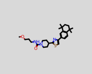 COCCCNC(=O)N1CCC(c2nc(-c3ccc4c(c3)C(C)(C)CCC4(C)C)cs2)CC1